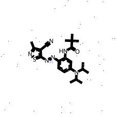 Cc1nsc(/N=N/c2ccc(N(C(C)C)C(C)C)cc2NC(=O)C(C)(C)C)c1C#N